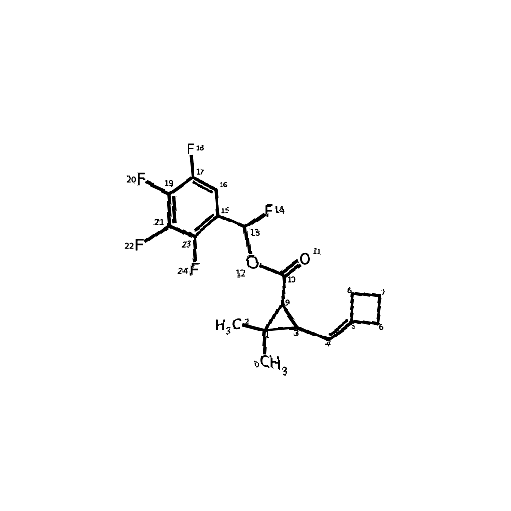 CC1(C)C(C=C2CCC2)C1C(=O)OC(F)c1cc(F)c(F)c(F)c1F